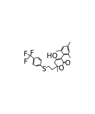 Cc1cc(C)c(C2=C(O)CC(C)(CCSc3ccc(C(F)(F)F)cc3)OC2=O)c(C)c1